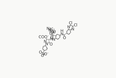 O=C([O-])C1=NN(c2ccc(S(=O)(=O)[O-])cc2)C(=O)C1N=Nc1ccc(NC(=O)c2ccc3nc(Cl)c(Cl)nc3c2)cc1S(=O)(=O)[O-].[Na+].[Na+].[Na+]